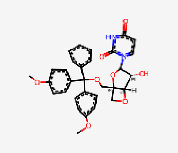 COc1ccc(C(OC[C@]23CO[C@H]2[C@@H](O)C(n2ccc(=O)[nH]c2=O)O3)(c2ccccc2)c2ccc(OC)cc2)cc1